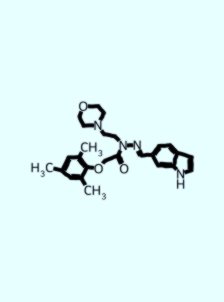 Cc1cc(C)c(OCC(=O)N(CCN2CCOCC2)/N=C/c2ccc3cc[nH]c3c2)c(C)c1